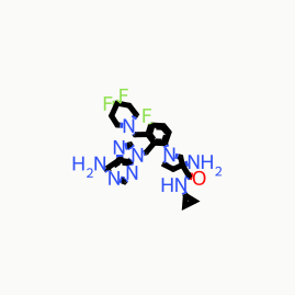 Nc1ncnc2c1ncn2Cc1c(N2CCC(N)(C(=O)NC3CC3)C2)ccc(F)c1CN1CCC(F)(F)CC1